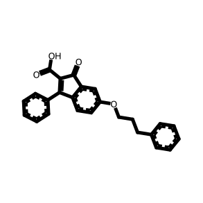 O=C(O)C1=C(c2ccccc2)c2ccc(OCCCc3ccccc3)cc2C1=O